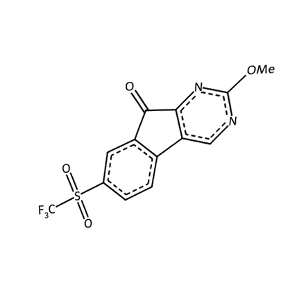 COc1ncc2c(n1)C(=O)c1cc(S(=O)(=O)C(F)(F)F)ccc1-2